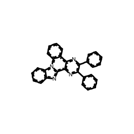 c1ccc(-c2nc3c4ccccc4n4c5ccccc5nc4c3nc2-c2ccccc2)cc1